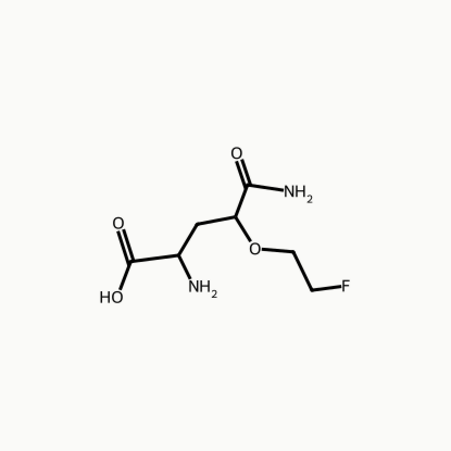 NC(=O)C(CC(N)C(=O)O)OCCF